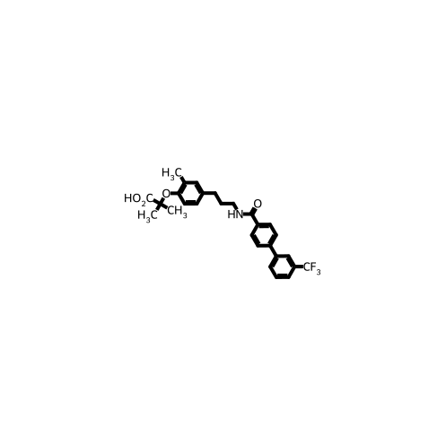 Cc1cc(CCCNC(=O)c2ccc(-c3cccc(C(F)(F)F)c3)cc2)ccc1OC(C)(C)C(=O)O